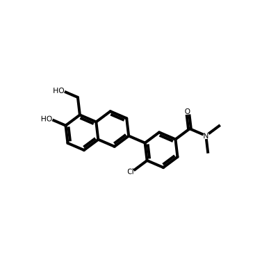 CN(C)C(=O)c1ccc(Cl)c(-c2ccc3c(CO)c(O)ccc3c2)c1